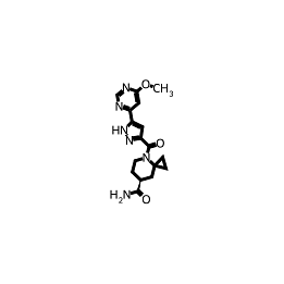 COc1cc(-c2cc(C(=O)N3CC[C@H](C(N)=O)CC34CC4)n[nH]2)ncn1